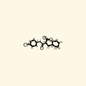 O=C(Cc1ccc(Cl)cc1)c1cc2ccccc2oc1=O